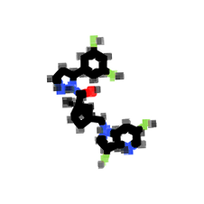 O=C([C@H]1CC2(Cn3cc(F)c4ncc(F)cc43)CC1C2)N1N=CCC1c1cc(F)cc(F)c1